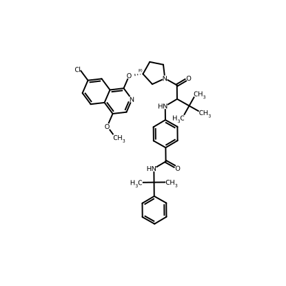 COc1cnc(O[C@@H]2CCN(C(=O)C(Nc3ccc(C(=O)NC(C)(C)c4ccccc4)cc3)C(C)(C)C)C2)c2cc(Cl)ccc12